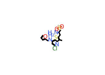 Cc1c(CC(N)CS(C)(=O)=O)sc2c(NCc3ccco3)cc(Cl)nc12